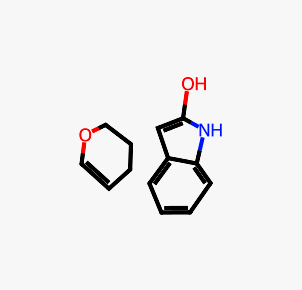 C1=COCCC1.Oc1cc2ccccc2[nH]1